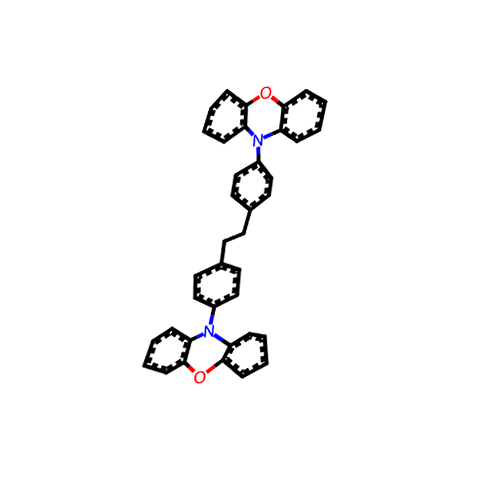 c1ccc2c(c1)Oc1ccccc1N2c1ccc(CCc2ccc(N3c4ccccc4Oc4ccccc43)cc2)cc1